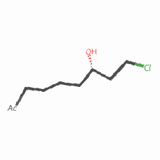 CC(=O)CCCC[C@H](O)CCCl